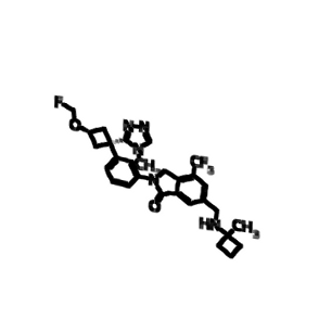 Cn1cnnc1[C@]1(c2cccc(N3Cc4c(cc(CNC5(C)CCC5)cc4C(F)(F)F)C3=O)c2)C[C@@H](OCF)C1